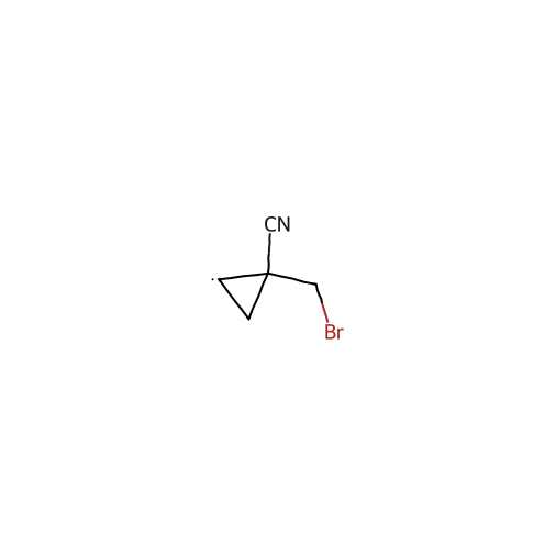 N#CC1(CBr)[CH]C1